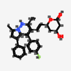 Cc1cc(-c2ccccc2)c2c(-c3ccc(F)cc3)c(/C=C/C3CC(O)CC(=O)O3)c(C(C)C)nn12